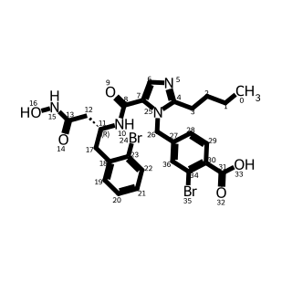 CCCCc1ncc(C(=O)N[C@@H](CC(=O)NO)Cc2ccccc2Br)n1Cc1ccc(C(=O)O)c(Br)c1